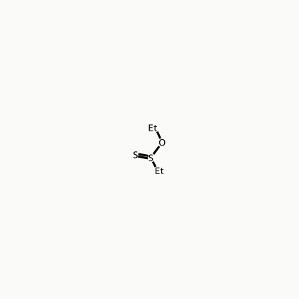 CCOS(=S)CC